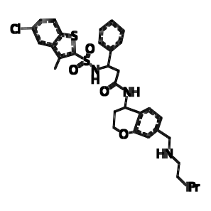 Cc1c(S(=O)(=O)NC(CC(=O)NC2CCOc3cc(CNCCC(C)C)ccc32)c2ccccc2)sc2ccc(Cl)cc12